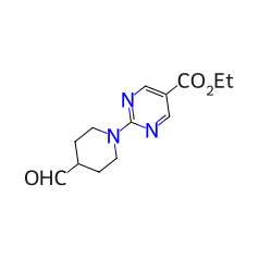 CCOC(=O)c1cnc(N2CCC(C=O)CC2)nc1